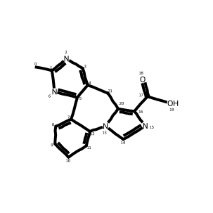 Cc1ncc2c(n1)-c1ccccc1-n1cnc(C(=O)O)c1C2